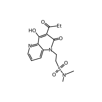 CCC(=O)c1c(O)c2ncccc2n(CCS(=O)(=O)N(C)C)c1=O